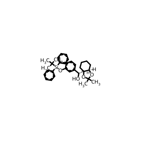 CC1(C)O[C@@H]2CCCC[C@]2(C(O)c2cccc(O[Si](c3ccccc3)(c3ccccc3)C(C)(C)C)c2)O1